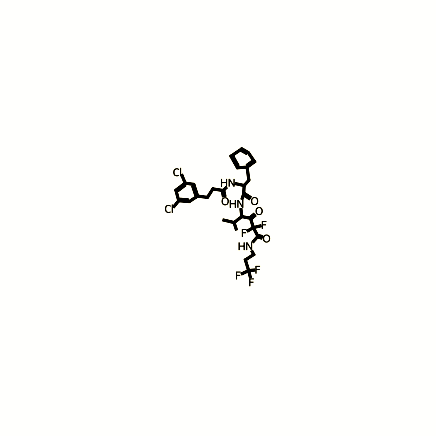 CC(C)C(NC(=O)C(Cc1ccccc1)NC(=O)CCc1cc(Cl)cc(Cl)c1)C(=O)C(F)(F)C(=O)NCCC(F)(F)F